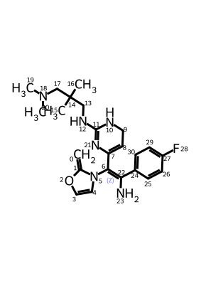 C=C1OC=CN1/C(C1=CCNC(NCC(C)(C)CN(C)C)=N1)=C(\N)c1ccc(F)cc1